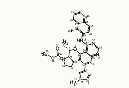 C[C@H](Oc1cc(-c2cnn(C)c2)cc2ncnc(Nc3ccc4ncccc4c3F)c12)[C@H]1CCCN1C(=O)OC(C)(C)C